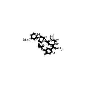 COC1CCNC(N2CCN(C3CC(C(N)C4CC(OC5(C)CC5)=C(F)C[C@H]4C)=NCN3)CC2)C1